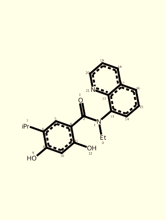 CCN(C(=O)c1cc(C(C)C)c(O)cc1O)c1cccc2cccnc12